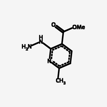 COC(=O)c1ccc(C)nc1NN